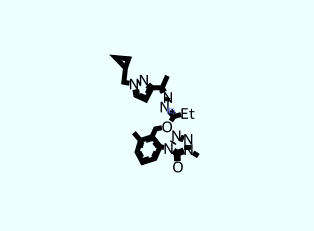 CC/C(=N\N=C(C)c1ccn(CC2CC2)n1)OCc1c(C)cccc1-n1nnn(C)c1=O